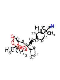 CC1(C)OC(=O)C=C(CC(O)(C#Cc2ccc(C(C)(C)C#N)cc2)C2CCCC2)O1